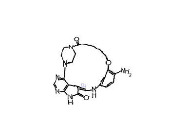 Nc1ccc2cc1OCCCCC(=O)N1CCN(CC1)c1ncnc3c1/C(=C/N2)C(=O)N3